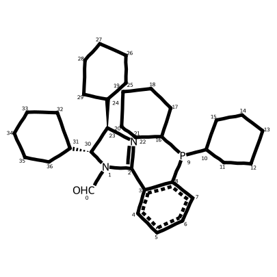 O=CN1C(c2ccccc2P(C2CCCCC2)C2CCCCC2)=N[C@H](C2CCCCC2)[C@H]1C1CCCCC1